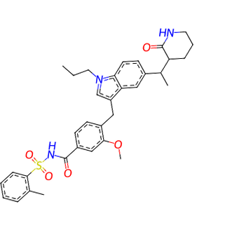 CCCn1cc(Cc2ccc(C(=O)NS(=O)(=O)c3ccccc3C)cc2OC)c2cc(C(C)C3CCCNC3=O)ccc21